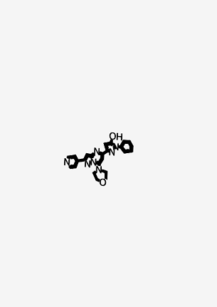 Oc1cc(-c2cc(N3CCOCC3)n3nc(-c4ccncc4)cc3n2)nn1-c1ccccc1